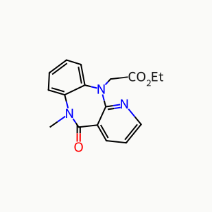 CCOC(=O)CN1c2ccccc2N(C)C(=O)c2cccnc21